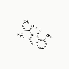 C=C(/C=C\C)n1c(CC)nc2cccc(C)c2c1=S